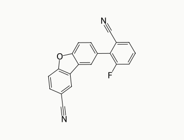 N#Cc1ccc2oc3ccc(-c4c(F)cccc4C#N)cc3c2c1